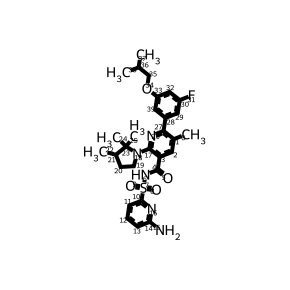 Cc1cc(C(=O)NS(=O)(=O)c2cccc(N)n2)c(N2CCC(C)C2(C)C)nc1-c1cc(F)cc(OCC(C)C)c1